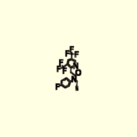 C#CCN(C(=O)Cc1ncc(C(F)(F)F)cc1C(F)(F)F)c1ccc(F)cc1